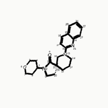 O=C1N(C2CCOCC2)CC[C@]12CCCN(c1ccc3ccccc3n1)C2